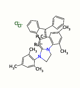 Cc1cc(C)c(N2CCN(c3c(C)cc(C)cc3C)[C]2=[Ru+2]=[C]2C=C(c3ccccc3)c3ccccc32)c(C)c1.[Cl-].[Cl-]